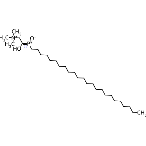 CCCCCCCCCCCCCCCCCCCCCCCC/[P+]([O-])=C(\O)C[N+](C)(C)C